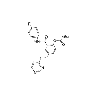 CC(C)(C)C(=O)Oc1ccc(CCc2ccncn2)cc1C(=O)Nc1ccc(F)cc1